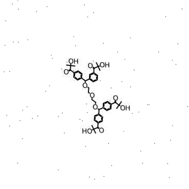 CC(C)(O)C(=O)c1ccc(C(OCCOCCOC(c2ccc(C(=O)C(C)(C)O)cc2)c2cccc(C(=O)C(C)(C)O)c2)c2ccc(C(=O)C(C)(C)O)cc2)cc1